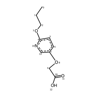 CCCOc1ccc(OCC(=O)O)cn1